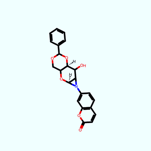 O=c1ccc2ccc(N3C4C(O)[C@@H]5OC(c6ccccc6)OCC5O[C@@H]43)cc2o1